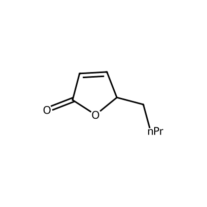 CCCCC1C=CC(=O)O1